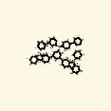 c1ccc(-c2ccc(N(c3cccc(-c4ccccc4)c3)c3cc(-c4ccc5c(c4)oc4ccccc45)cc(-c4ccc5c6ccccc6n(-c6ccccc6)c5c4)c3)cc2)cc1